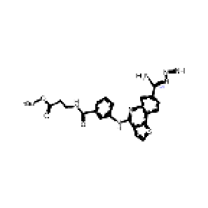 CC(C)(C)OC(=O)CCNC(=O)c1cccc(Nc2nc3cc(/C(N)=N/N=N)ccc3c3sccc23)c1